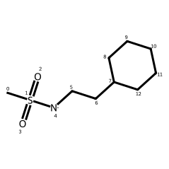 CS(=O)(=O)[N]CCC1CCCCC1